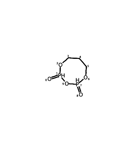 O=[PH]1OCCCO[PH](=O)O1